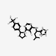 CC(C)CC(Nc1ncnc(N2CCCC2c2ccc(C(F)(F)F)cc2)c1F)c1nnn[nH]1